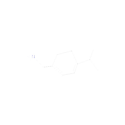 CC(C)C1=CC=C(CN)CC1